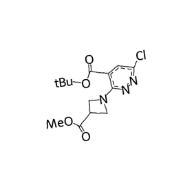 COC(=O)C1CN(c2nnc(Cl)cc2C(=O)OC(C)(C)C)C1